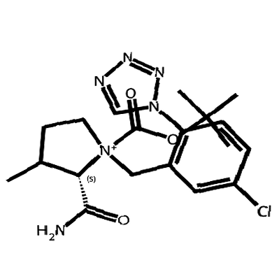 CC1CC[N+](Cc2cc(Cl)ccc2-n2cnnn2)(C(=O)OC(C)(C)C)[C@@H]1C(N)=O